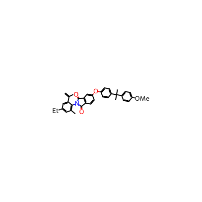 C=C(C)c1cc(CC)cc(C)c1N1C(=O)c2ccc(Oc3ccc(C(C)(C)c4ccc(OC)cc4)cc3)cc2C1=O